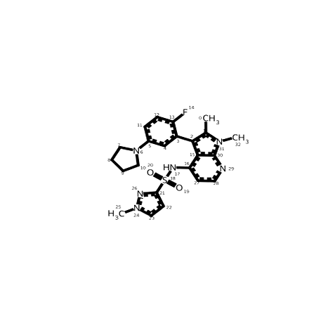 Cc1c(-c2cc(N3CCCC3)ccc2F)c2c(NS(=O)(=O)c3ccn(C)n3)ccnc2n1C